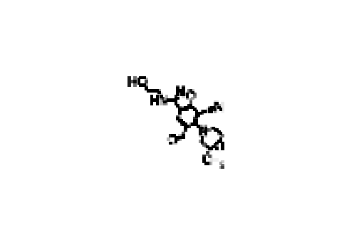 CC1CN(c2c(C=O)cc3c(NCCO)noc3c2C#N)CCO1